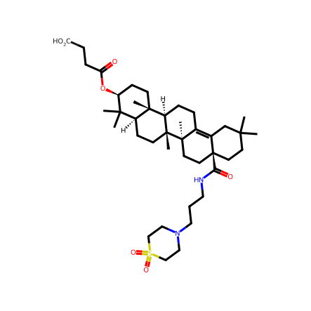 CC1(C)CC[C@]2(C(=O)NCCCN3CCS(=O)(=O)CC3)CC[C@]3(C)C(=C2C1)CC[C@@H]1[C@@]2(C)CC[C@H](OC(=O)CCC(=O)O)C(C)(C)[C@@H]2CC[C@]13C